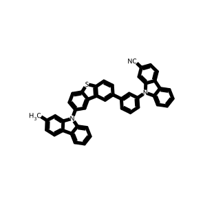 Cc1ccc2c3ccccc3n(-c3ccc4sc5ccc(-c6cccc(-n7c8ccccc8c8ccc(C#N)cc87)c6)cc5c4c3)c2c1